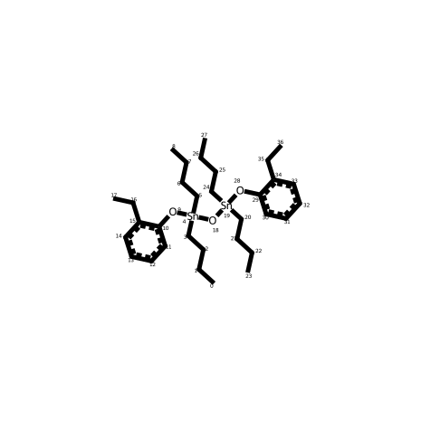 CCC[CH2][Sn]([CH2]CCC)([O]c1ccccc1CC)[O][Sn]([CH2]CCC)([CH2]CCC)[O]c1ccccc1CC